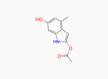 CC(=O)Oc1cc2c(C)cc(O)cc2[nH]1